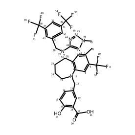 Cc1cc2c(cc1C(F)(F)F)N(Cc1ccc(O)c(C(=O)O)c1)CCC[C@@H]2N(Cc1cc(C(F)(F)F)cc(C(F)(F)F)c1)c1nnn(C)n1